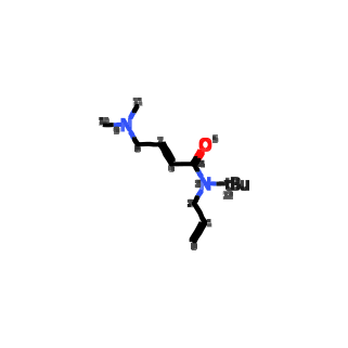 C=CCN(C(=O)/C=C/CN(C)C)C(C)(C)C